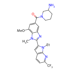 CCn1c(-c2nc3cc(C(=O)N4CCCC(N)C4)cc(OC)c3n2C)cc2ccc(C(F)(F)F)nc21